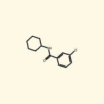 O=C(NC1CCCCC1)c1[c]ccc(Cl)c1